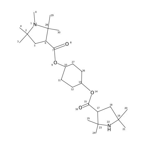 CN1C(C)(C)CC(C(=O)OC2CCC(OC(=O)C3CC(C)(C)NC3(C)C)CC2)C1(C)C